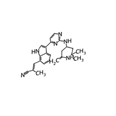 C=C1CC(Nc2nccc(-c3c[nH]c4c(/C=C(\C)C#N)cccc34)n2)CC(C)(C)N1